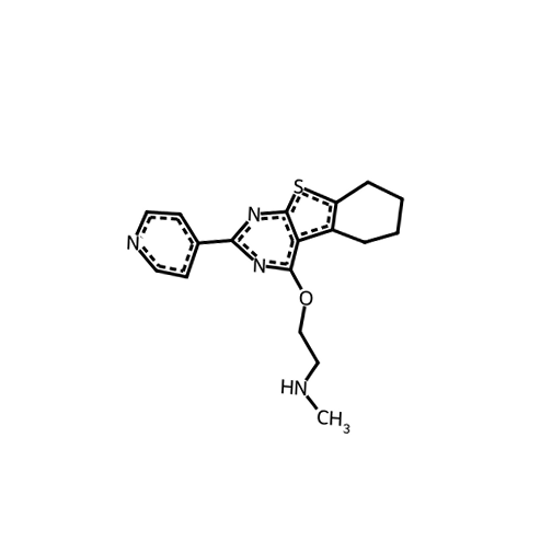 CNCCOc1nc(-c2ccncc2)nc2sc3c(c12)CCCC3